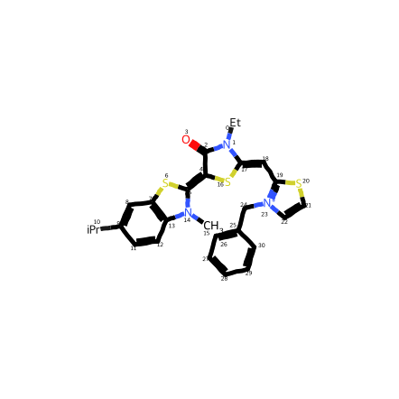 CCn1c(=O)/c(=C2\Sc3cc(C(C)C)ccc3N2C)s/c1=C\c1scc[n+]1Cc1ccccc1